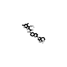 Cc1cc(C)c2c(N)c(C(=O)NC3CCc4nc(N5CC(N)C6(CCCOC6)C5)ccc4C3)sc2n1